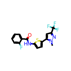 Cn1nc(C(F)(F)F)cc1-c1ccc(NC(=O)c2ccccc2F)s1